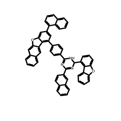 c1ccc2cc(C3=NC(c4cccc5oc6ccccc6c45)NC(c4ccc(-c5cc(-c6cccc7ccccc67)cc6oc7cc8ccccc8cc7c56)cc4)=N3)ccc2c1